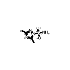 Cc1nc(C)n(S(N)(=O)=O)n1